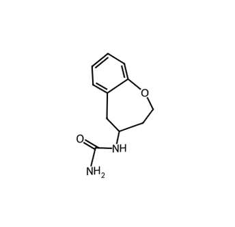 NC(=O)NC1CCOc2ccccc2C1